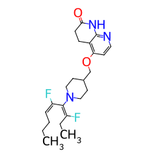 CCC/C=C(F)\C(=C(\F)CC)N1CCC(COc2ccnc3c2CCC(=O)N3)CC1